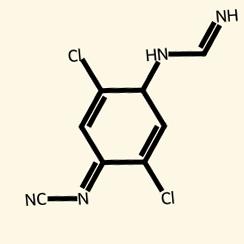 N#C/N=C1\C=C(Cl)C(NC=N)C=C1Cl